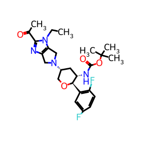 CCn1c(C(C)=O)nc2c1CN([C@H]1CO[C@H](c3cc(F)ccc3F)[C@@H](NC(=O)OC(C)(C)C)C1)C2